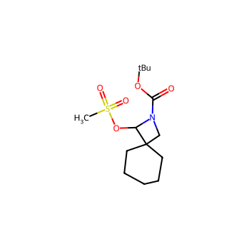 CC(C)(C)OC(=O)N1CC2(CCCCC2)C1OS(C)(=O)=O